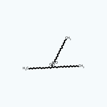 CCCCCCCCCCCCCCCCCCC(CCCCCCCCCCCCCCCC)C(=O)OOC(=O)CCCCCCCCCCCCCCCCC